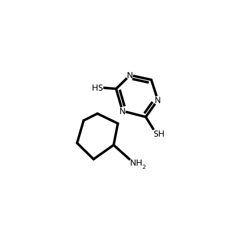 NC1CCCCC1.Sc1ncnc(S)n1